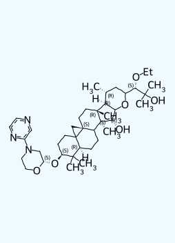 CCO[C@@H](C1C[C@@H](C)[C@H]2C(O1)[C@H](O)[C@@]1(C)C3CC[C@H]4C(C)(C)[C@@H](O[C@H]5CN(c6cnccn6)CCO5)CCC45C[C@@]35CC[C@]21C)C(C)(C)O